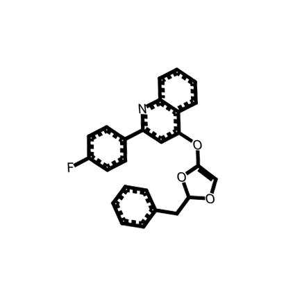 Fc1ccc(-c2cc(OC3=COC(Cc4ccccc4)O3)c3ccccc3n2)cc1